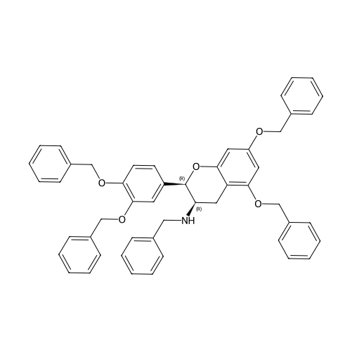 c1ccc(CN[C@@H]2Cc3c(OCc4ccccc4)cc(OCc4ccccc4)cc3O[C@@H]2c2ccc(OCc3ccccc3)c(OCc3ccccc3)c2)cc1